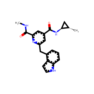 CNC(=O)c1cc(C(=O)N[C@H]2C[C@@H]2C)cc(Cc2cccc3[nH]ccc23)n1